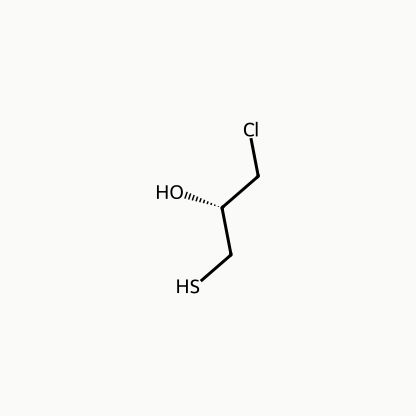 O[C@@H](CS)CCl